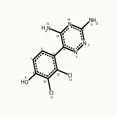 Nc1nnc(-c2ccc(O)c(Cl)c2Cl)c(N)n1